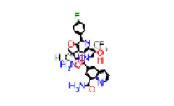 C[C@]1(C(N)=O)COc2c1cc([C@@](O)(CNC(=O)c1cc(C(N)=O)c3ncccc3c1)C(F)(F)F)nc2-c1ccc(F)cc1